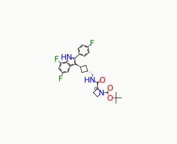 CC(C)(C)OC(=O)N1CC[C@H]1C(=O)NC[C@H]1C[C@H](c2c(-c3ccc(F)cc3)[nH]c3c(F)cc(F)cc32)C1